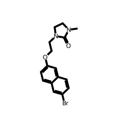 CN1CCN(CCOc2ccc3cc(Br)ccc3c2)C1=O